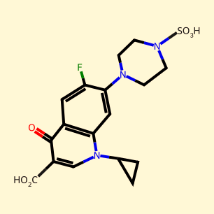 O=C(O)c1cn(C2CC2)c2cc(N3CCN(S(=O)(=O)O)CC3)c(F)cc2c1=O